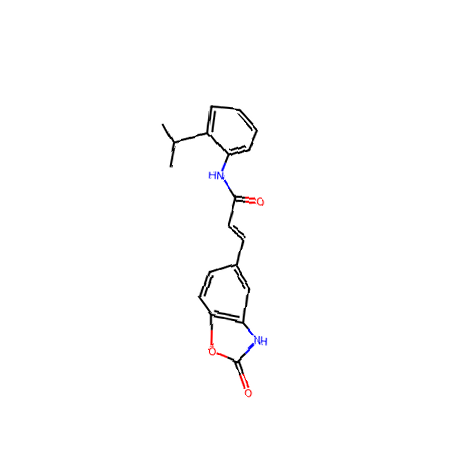 CC(C)c1ccccc1NC(=O)/C=C/c1ccc2oc(=O)[nH]c2c1